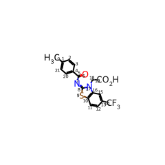 Cc1ccc(C(=O)N=c2sc3ccc(C(F)(F)F)cc3n2CC(=O)O)cc1